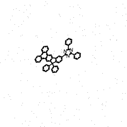 c1ccc(-c2nc(-c3ccccc3)nc(-c3ccc4c(c3)-c3cc5c6ccccc6c6ccccc6c5cc3C4(c3ccccc3)c3ccccc3)n2)cc1